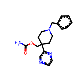 NC(=O)OCC1(c2cnccn2)CCN(Cc2ccccc2)CC1